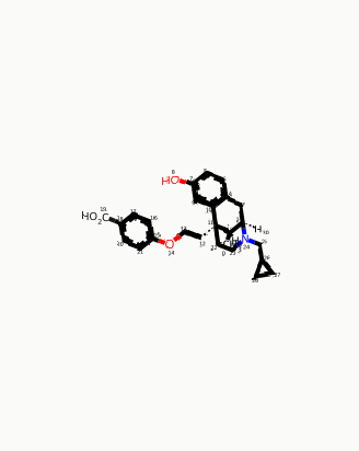 C[C@H]1[C@H]2Cc3ccc(O)cc3[C@]1(CCOc1ccc(C(=O)O)cc1)CCN2CC1CC1